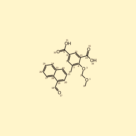 COCOc1c(C)cc(C(=O)O)cc1C(=O)O.O=Cc1cccc2ccccc12